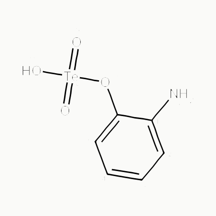 Nc1ccccc1O[Te](=O)(=O)O